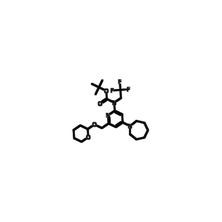 CC(C)(C)OC(=O)N(CC(F)(F)F)c1cc(N2CCCCCC2)cc(COC2CCCCO2)n1